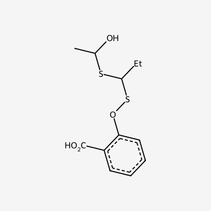 CCC(SOc1ccccc1C(=O)O)SC(C)O